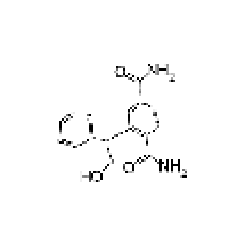 NC(=O)c1ccc(C(N)=O)c(C(CO)c2ccccc2)c1